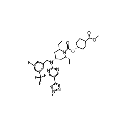 CC[C@@H]1C[C@H](N(Cc2cc(F)cc(C(F)(F)F)c2)c2ncc(-c3cnn(C)c3)cn2)C[C@H](CC)N1C(=O)O[C@H]1CC[C@H](C(=O)OC)CC1